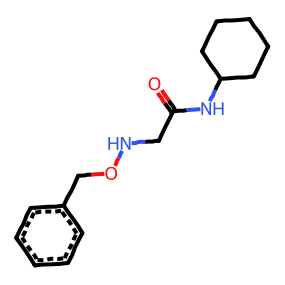 O=C(CNOCc1ccccc1)NC1CCCCC1